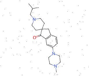 C[C](C)CN1CCC2(CC1)Cc1ccc(N3CCN(C)CC3)cc1C2=O